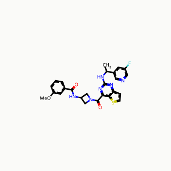 COc1cccc(C(=O)NC2CN(C(=O)c3nc(NC(C)c4cncc(F)c4)nc4ccsc34)C2)c1